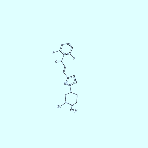 CC(C)(C)C1CC(c2nc(/C=C/C(=O)c3c(F)cccc3F)cs2)CCN1C(=O)O